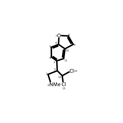 CNCC(c1ccc2occc2c1)C(Cl)Cl